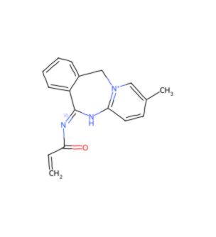 C=CC(=O)/N=C1\Nc2ccc(C)c[n+]2Cc2ccccc21